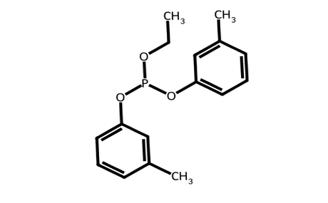 CCOP(Oc1cccc(C)c1)Oc1cccc(C)c1